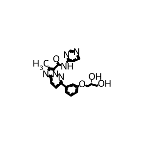 Cc1nc2ccc(-c3cccc(OC[C@H](O)CO)c3)nn2c1C(=O)Nc1ccncn1